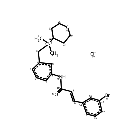 C[N+](C)(Cc1cccc(NC(=O)C=Cc2cccc(Br)c2)c1)C1CCOCC1.[Cl-]